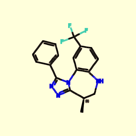 C[C@@H]1CNc2ccc(C(F)(F)F)cc2-n2c(-c3ccccc3)nnc21